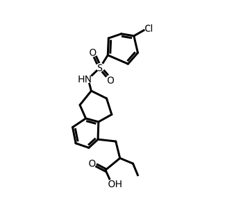 CCC(Cc1cccc2c1CCC(NS(=O)(=O)c1ccc(Cl)cc1)C2)C(=O)O